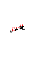 CCOCC(O)COCC1(CC)COC1